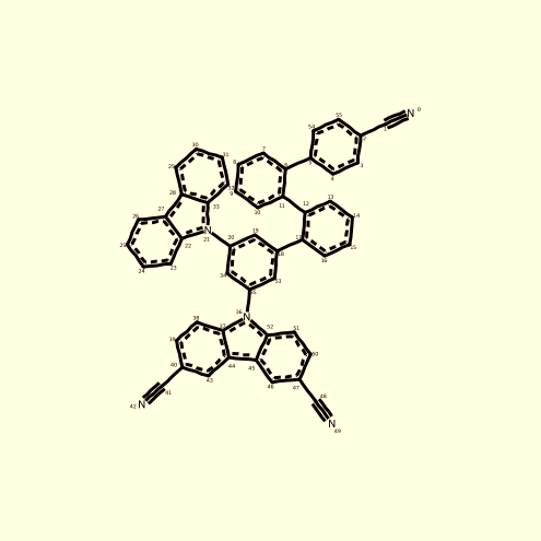 N#Cc1ccc(-c2ccccc2-c2ccccc2-c2cc(-n3c4ccccc4c4ccccc43)cc(-n3c4ccc(C#N)cc4c4cc(C#N)ccc43)c2)cc1